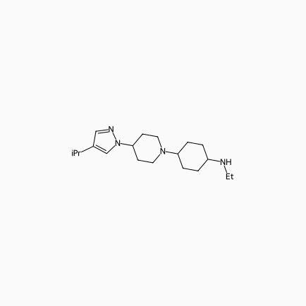 CCNC1CCC(N2CCC(n3cc(C(C)C)cn3)CC2)CC1